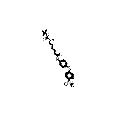 CC(C)(C)OC(=O)NCCCCCC(=O)Nc1ccc(Sc2ccc([N+](=O)[O-])cc2)cc1